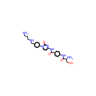 NCCCNCc1ccc(-n2ccc(NC(=O)c3ccc(NC(=O)C(N)CO)cc3)nc2=O)cc1